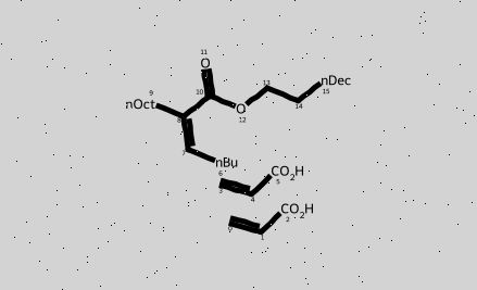 C=CC(=O)O.C=CC(=O)O.CCCCC=C(CCCCCCCC)C(=O)OCCCCCCCCCCCC